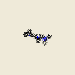 c1ccc(-c2nc(-c3ccccc3)nc(-c3cccc(-n4c5ccccc5c5cc(-c6ccc7c(c6)c6cccc8c9ccccc9n7c86)ccc54)c3)n2)cc1